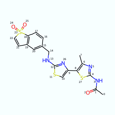 CC(=O)Nc1nc(C)c(-c2csc(NCc3ccc4c(c3)C=CS4(=O)=O)n2)s1